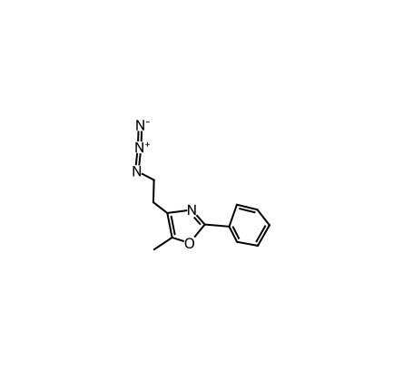 Cc1oc(-c2ccccc2)nc1CCN=[N+]=[N-]